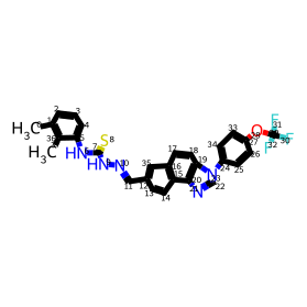 Cc1cccc(NC(=S)NN=Cc2ccc3c(ccc4c3ncn4-c3ccc(OC(F)(F)F)cc3)c2)c1C